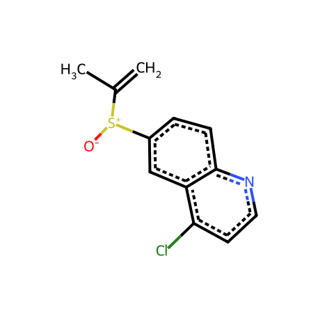 C=C(C)[S+]([O-])c1ccc2nccc(Cl)c2c1